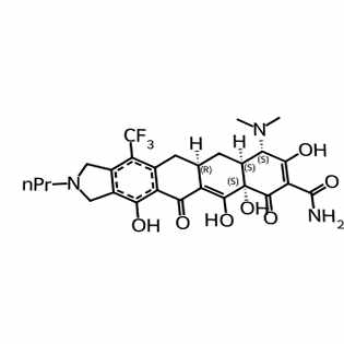 CCCN1Cc2c(O)c3c(c(C(F)(F)F)c2C1)C[C@H]1C[C@H]2[C@H](N(C)C)C(O)=C(C(N)=O)C(=O)[C@@]2(O)C(O)=C1C3=O